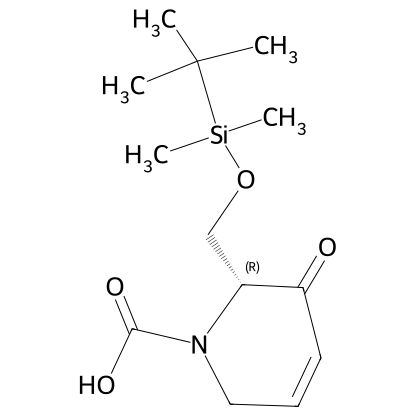 CC(C)(C)[Si](C)(C)OC[C@@H]1C(=O)C=CCN1C(=O)O